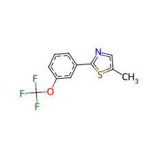 Cc1cnc(-c2cccc(OC(F)(F)F)c2)s1